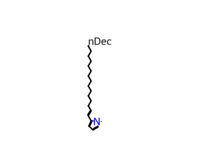 CCCCCCCCCCCCCCCCCCCCCCCC=CC1=CC=C[N]1